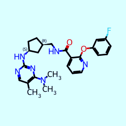 Cc1cnc(N[C@H]2CC[C@@H](CNC(=O)c3cccnc3Oc3cccc(F)c3)C2)nc1N(C)C